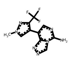 Cn1cc(-c2cnc(N)n3cnnc23)c(C(F)(F)F)n1